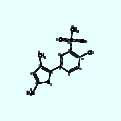 Cc1cc(N)sc1-c1ccc(Cl)c(S(C)(=O)=O)c1